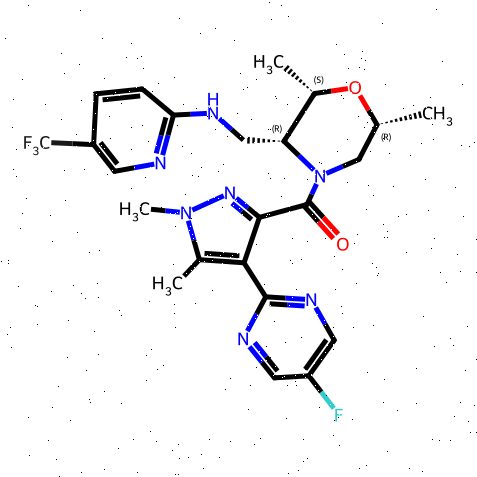 Cc1c(-c2ncc(F)cn2)c(C(=O)N2C[C@@H](C)O[C@@H](C)[C@H]2CNc2ccc(C(F)(F)F)cn2)nn1C